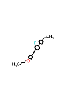 CCCCCOc1ccc(C#Cc2ccc(-c3ccc(CCC)cc3)c(F)c2)cc1